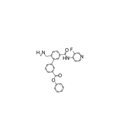 NCc1ccc(C(=O)Nc2ccncc2F)cc1-c1cccc(C(=O)Oc2ccccc2)c1